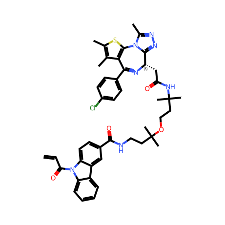 C=CC(=O)n1c2ccccc2c2cc(C(=O)NCCC(C)(C)OCCC(C)(C)NC(=O)C[C@@H]3N=C(c4ccc(Cl)cc4)c4c(sc(C)c4C)-n4c(C)nnc43)ccc21